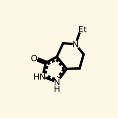 CCN1CCc2[nH][nH]c(=O)c2C1